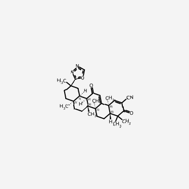 CC1(c2nnco2)CC[C@]2(C)CC[C@]3(C)[C@H](C(=O)C=C4[C@@]5(C)C=C(C#N)C(=O)C(C)(C)[C@@H]5CC[C@]43C)[C@@H]2C1